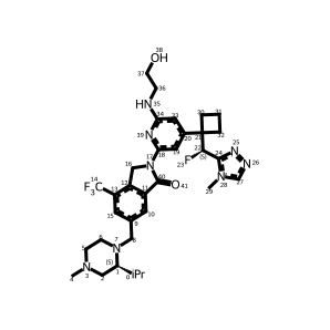 CC(C)[C@H]1CN(C)CCN1Cc1cc2c(c(C(F)(F)F)c1)CN(c1cc(C3([C@H](F)c4nncn4C)CCC3)cc(NCCO)n1)C2=O